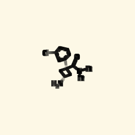 CCN(CC)C(=O)[C@]1(c2cccc(Cl)c2)C[C@@H](N)C1